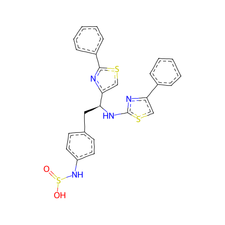 O=S(O)Nc1ccc(C[C@H](Nc2nc(-c3ccccc3)cs2)c2csc(-c3ccccc3)n2)cc1